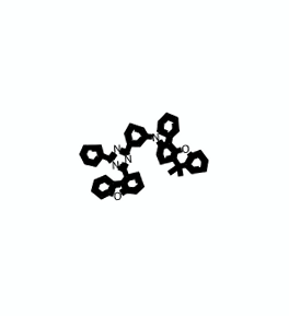 CC1(C)c2ccccc2Oc2c1ccc1c2c2ccccc2n1-c1cccc(-c2nc(-c3ccccc3)nc(-c3cccc4oc5ccccc5c34)n2)c1